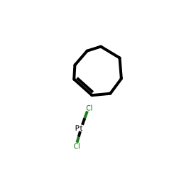 C1=CCCCCCC1.[Cl][Pt][Cl]